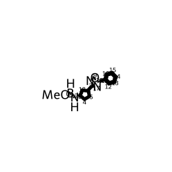 COBNC1CCC(c2noc(-c3ccccc3)n2)C1